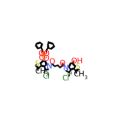 Cc1csc2c(O)cc3c(c12)[C@H](CCl)CN3C(=O)CCCC(=O)N1C[C@@H](CCl)c2c1cc(OP(=O)(OCc1ccccc1)OCc1ccccc1)c1scc(C)c21